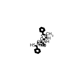 CN(NC(=O)NS(=O)(=O)NN(C)C(S)c1ccccc1)C(=S)c1ccccc1